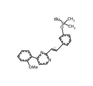 COc1ccccc1-c1ccnc(/C=C/c2cccc(O[Si](C)(C)C(C)(C)C)c2)n1